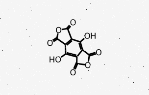 O=c1oc(=O)c2c(O)c3c(=O)oc(=O)c3c(O)c12